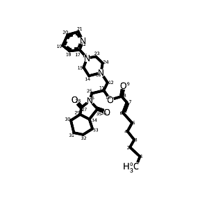 CCCCCC/C=C/C(=O)OC(CN1CCN(c2ccccn2)CC1)CN1C(=O)C2CCCCC2C1=O